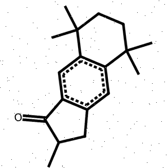 CC1Cc2cc3c(cc2C1=O)C(C)(C)CCC3(C)C